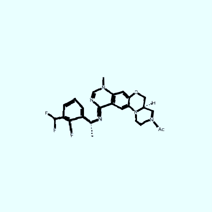 CC(=O)N1CCN2c3cc4/c(=N/[C@H](C)c5cccc(C(F)F)c5F)ncn(C)c4cc3OC[C@H]2C1